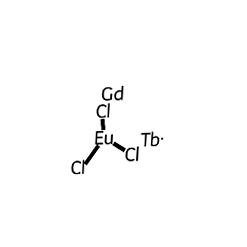 [Cl][Eu]([Cl])[Cl].[Gd].[Tb]